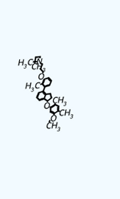 CCOc1cc(O[C@H]2CCc3c(-c4cccc(OCCCN5CCC5(C)C)c4C)cccc32)c(C)cc1C